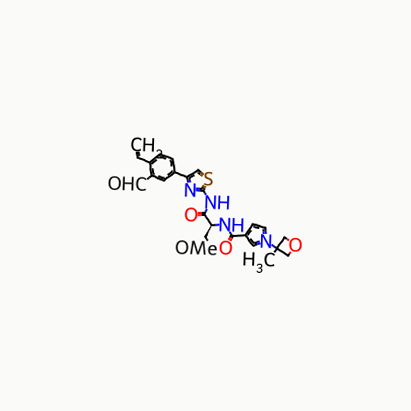 C=Cc1ccc(-c2csc(NC(=O)[C@H](COC)NC(=O)c3ccn(C4(C)COC4)c3)n2)cc1C=O